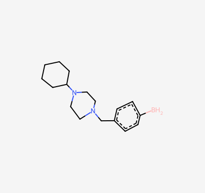 Bc1ccc(CN2CCN(C3CCCCC3)CC2)cc1